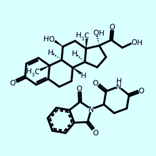 C[C@]12C=CC(=O)C=C1CC[C@@H]1[C@@H]2[C@@H](O)C[C@@]2(C)[C@H]1CC[C@]2(O)C(=O)CO.O=C1CCC(N2C(=O)c3ccccc3C2=O)C(=O)N1